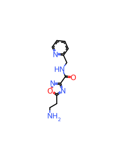 NCCc1nc(C(=O)NCc2ccccn2)no1